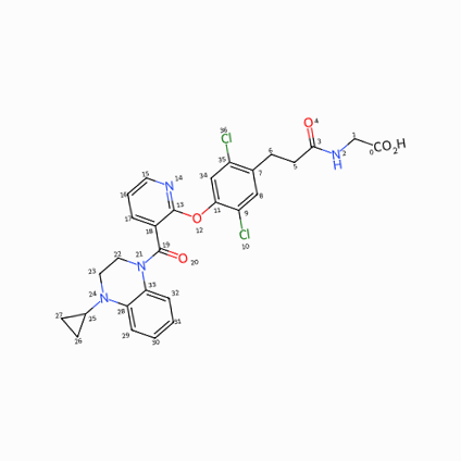 O=C(O)CNC(=O)CCc1cc(Cl)c(Oc2ncccc2C(=O)N2CCN(C3CC3)c3ccccc32)cc1Cl